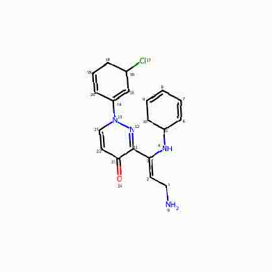 NC/C=C(\NC1C=CC=CC1)c1nn(C2=CC(Cl)CC=C2)ccc1=O